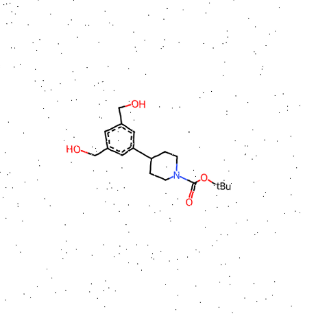 CC(C)(C)OC(=O)N1CCC(c2cc(CO)cc(CO)c2)CC1